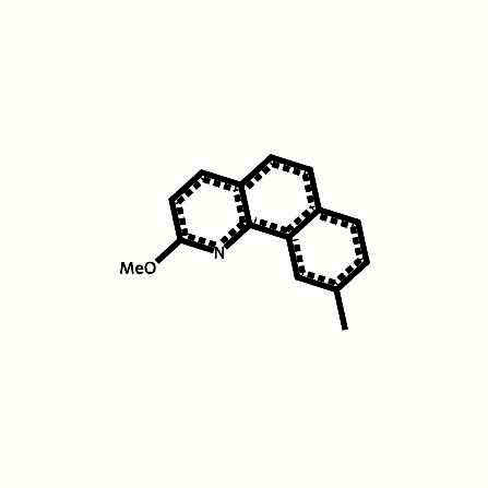 COc1ccc2ccc3ccc(C)cc3c2n1